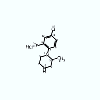 C[C@H]1CNCCN1c1ccc(Cl)cc1F.Cl